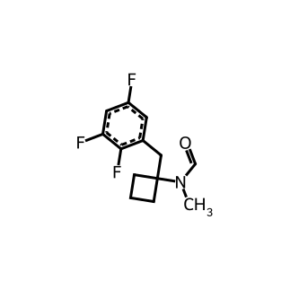 CN(C=O)C1(Cc2cc(F)cc(F)c2F)CCC1